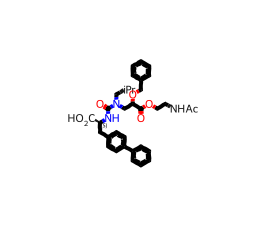 CC(=O)NCCOC(=O)C(CN(CC(C)C)C(=O)N[C@@H](Cc1ccc(-c2ccccc2)cc1)C(=O)O)OCc1ccccc1